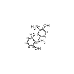 Nc1c(O)cccc1Nc1cccc(O)c1N